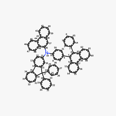 c1ccc(-c2c(-c3ccc(N(c4ccc5c(c4)C(c4ccccc4)(c4ccccc4)c4ccccc4-5)c4cc5ccccc5c5ccccc45)cc3)c3ccccc3c3ccccc23)cc1